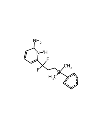 [2H]N1C(C(F)(F)CC[Si](C)(C)c2ccccc2)=CC=CC1N